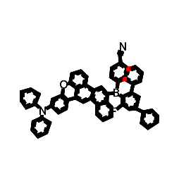 N#Cc1ccc(B(c2c(F)cc(-c3ccccc3)cc2-c2ccccc2)c2cc3c4cccc5c4c(cc3c3ccccc23)-c2ccc(N(c3ccccc3)c3ccccc3)cc2O5)cc1